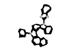 c1ccc(-n2c3ccc4ccccc4c3c3c4c5ccccc5n(-c5nc6ccccc6o5)c4ccc32)cc1